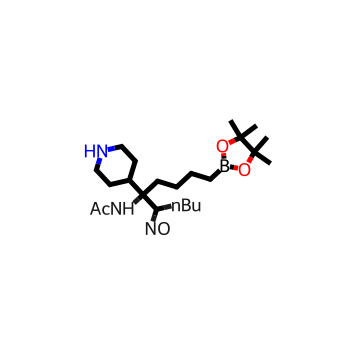 CCCCC(N=O)C(CCCCB1OC(C)(C)C(C)(C)O1)(NC(C)=O)C1CCNCC1